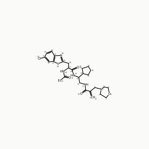 C=C(CN1CCOCC1)C(=O)NCC(NC(=O)C(Cc1nc2ccc(Cl)cc2s1)NC(=O)CC)C1CCCC1